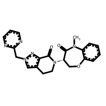 CN1C(=O)[C@@H](N2CCc3cn(Cc4ncccn4)nc3C2=O)COc2ccccc21